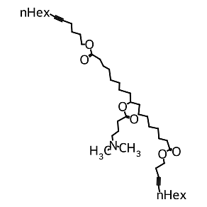 CCCCCCC#CCCCCOC(=O)CCCCCCCC(CCCCCCCC(=O)OCCC#CCCCCCC)OC(=O)CCCN(C)C